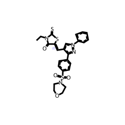 CCN1C(=O)/C(=C/c2cn(-c3ccccc3)nc2-c2ccc(S(=O)(=O)N3CCOCC3)cc2)SC1=S